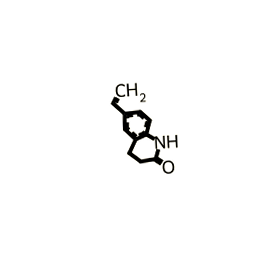 C=Cc1ccc2c(c1)CCC(=O)N2